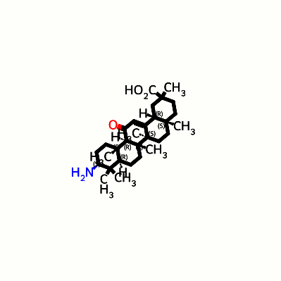 CC1(C(=O)O)CC[C@]2(C)CC[C@]3(C)C(=CC(=O)[C@@H]4[C@@]5(C)CC[C@H](N)C(C)(C)[C@@H]5CC[C@]43C)[C@@H]2C1